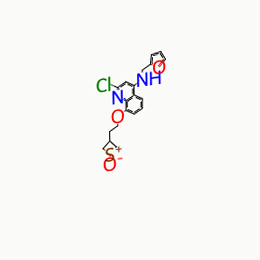 [O-][S+]1CC(CCOc2cccc3c(NCc4ccco4)cc(Cl)nc23)C1